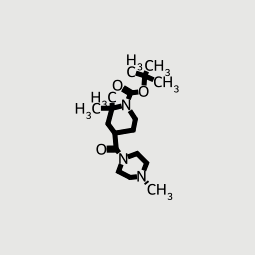 CN1CCN(C(=O)C2CCN(C(=O)OC(C)(C)C)C(C)(C)C2)CC1